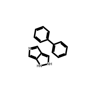 c1ccc(-c2ccccc2)cc1.c1ncc2[nH][nH]cc1-2